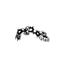 COc1cc(/C=C2\CCCN3C2=NOC3(CO)c2cccc(S(F)(F)(F)(F)F)c2)ccc1-n1cnc(C)c1